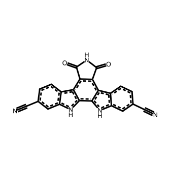 N#Cc1ccc2c(c1)[nH]c1c3[nH]c4cc(C#N)ccc4c3c3c(c21)C(=O)NC3=O